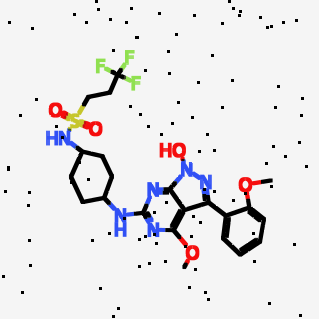 COc1ccccc1-c1nn(O)c2nc(NC3CCC(NS(=O)(=O)CCC(F)(F)F)CC3)nc(OC)c12